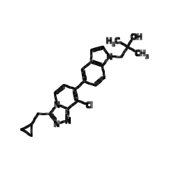 CC(C)(O)Cn1ccc2cc(-c3ccn4c(CC5CC5)nnc4c3Cl)ccc21